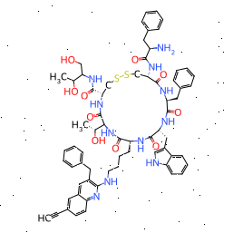 C#Cc1ccc2nc(NCCCC[C@@H]3NC(=O)[C@@H](Cc4c[nH]c5ccccc45)NC(=O)[C@H](Cc4ccccc4)NC(=O)[C@@H](NC(=O)[C@H](N)Cc4ccccc4)CSSC[C@@H](C(=O)NC(CO)C(C)O)NC(=O)[C@H]([C@@H](C)O)NC3=O)c(Cc3ccccc3)cc2c1